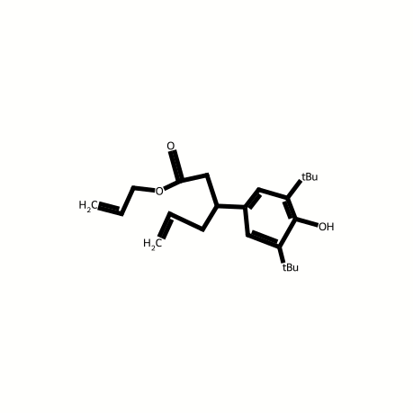 C=CCOC(=O)CC(CC=C)c1cc(C(C)(C)C)c(O)c(C(C)(C)C)c1